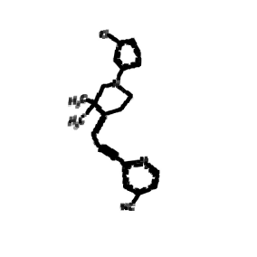 CC1(C)CN(c2cccc(Cl)c2)CC/C1=C\C#Cc1cc(C#N)ccn1